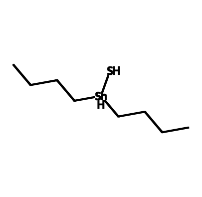 CCC[CH2][SnH]([SH])[CH2]CCC